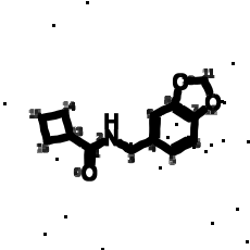 O=C(NCc1ccc2c(c1)OCO2)C1CCC1